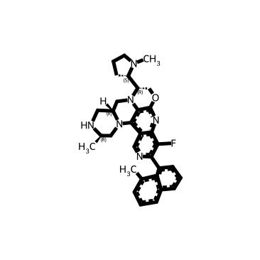 Cc1cccc2cccc(-c3ncc4c5c6c(nc4c3F)OC[C@@H]([C@@H]3CCCN3C)N6C[C@H]3CN[C@H](C)CN53)c12